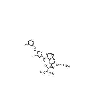 COCCOc1cc2ncnc(Nc3ccc(OCc4cccc(F)c4)c(Cl)c3)c2cc1NC(=O)[C@H](C)N